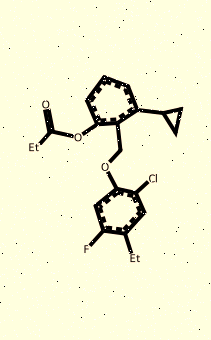 CCC(=O)Oc1cccc(C2CC2)c1COc1cc(F)c(CC)cc1Cl